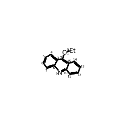 CCOc1c2ccccc2nc2ccccc12